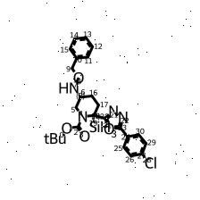 CC(C)(C)OC(=O)N1C[C@H](NOCc2ccccc2)CC[C@@]1([SiH3])c1nnc(-c2ccc(Cl)cc2)o1